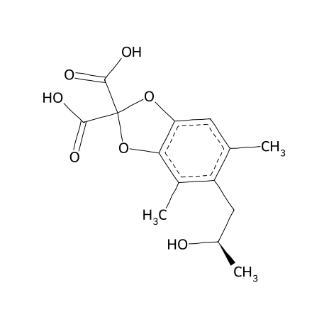 Cc1cc2c(c(C)c1C[C@@H](C)O)OC(C(=O)O)(C(=O)O)O2